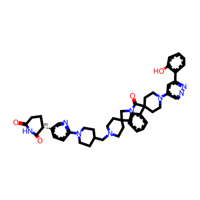 O=C1CC[C@H](c2ccc(N3CCC(CN4CCC5(CC4)CN(C(=O)C4(c6ccccc6)CCN(c6cnnc(-c7ccccc7O)c6)CC4)C5)CC3)nc2)C(=O)N1